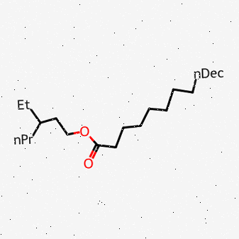 CCCCCCCCCCCCCCCCCC(=O)OCCC(CC)CCC